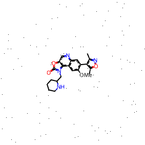 COc1cc2c(cc1-c1c(C)noc1C)ncc1oc(=O)n(CC3CCCCN3)c12